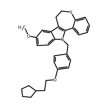 COc1ccc2c(c1)c1c(n2Cc2ccc(OCCC3CCCC3)cc2)-c2ccccc2SCC1